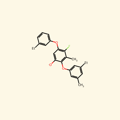 CCc1cccc(Oc2cc([O])c(Oc3cc(C)cc(CC)c3)c(C)c2F)c1